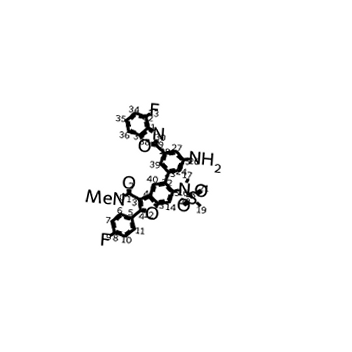 CNC(=O)c1c(-c2ccc(F)cc2)oc2cc(N(C)S(C)(=O)=O)c(-c3cc(N)cc(-c4nc5c(F)cccc5o4)c3)cc12